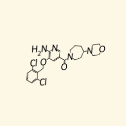 Nc1ncc(C(=O)N2CCCC(N3CCOCC3)CC2)cc1OCc1c(Cl)cccc1Cl